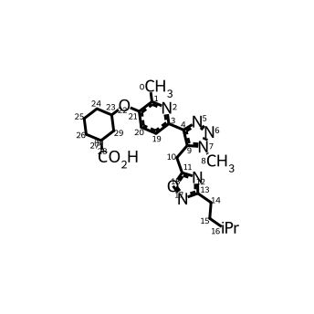 Cc1nc(-c2nnn(C)c2Cc2nc(CCC(C)C)no2)ccc1OC1CCC[C@H](C(=O)O)C1